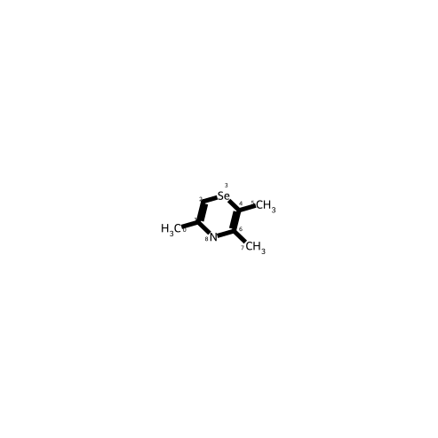 CC1=C[Se]C(C)=C(C)[N]1